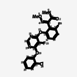 CNC(=O)/C(=N\OC)c1c(F)cccc1Oc1ncnc(Oc2ccccc2Cl)c1F